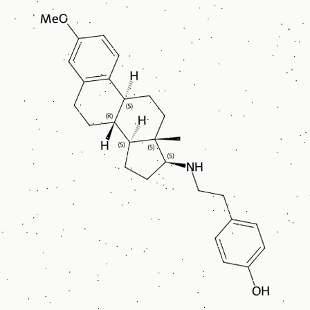 COc1ccc2c(c1)CC[C@@H]1[C@@H]2CC[C@]2(C)[C@@H](NCCc3ccc(O)cc3)CC[C@@H]12